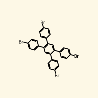 Brc1ccc(-c2cc(-c3ccc(Br)cc3)c(-c3ccc(Br)cc3)cc2-c2ccc(Br)cc2)cc1